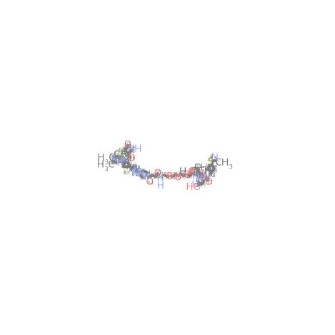 Cc1ncsc1-c1ccc(CNC(=O)[C@@H]2C[C@@H](O)CN2C(=O)C(NC(=O)COCCOCCOCCNC(=O)CCC(=O)N2CCN(c3ncc(-c4cc(NC(=O)c5c[nH]c(=O)cc5C(F)(F)F)c(N5C[C@@H](C)N(C)[C@@H](C)C5)cc4F)cn3)CC2)C(C)(C)C)cc1